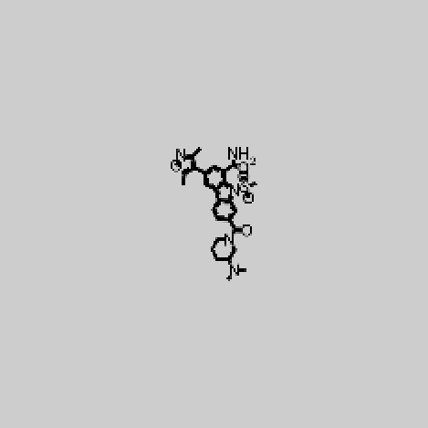 Cc1noc(C)c1-c1cc(C(N)=O)c2c(c1)c1ccc(C(=O)N3CCCC(N(C)C)C3)cc1n2S(C)(=O)=O